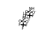 N=S(=O)([O-])C(F)(F)F.N=S(=O)([O-])C(F)(F)F.[Li+].[Li+]